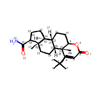 CC(C)(C)C1=CC(=O)OC2CC[C@@H]3[C@@H](CC[C@]4(C)C(C(N)=O)CC[C@@H]34)[C@@]12C